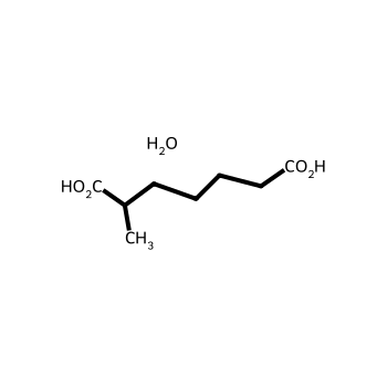 CC(CCCCC(=O)O)C(=O)O.O